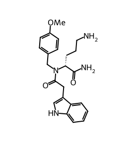 COc1ccc(CN(C(=O)Cc2c[nH]c3ccccc23)[C@H](CCCN)C(N)=O)cc1